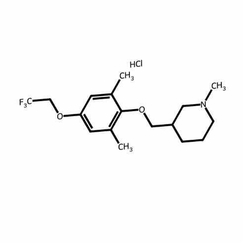 Cc1cc(OCC(F)(F)F)cc(C)c1OCC1CCCN(C)C1.Cl